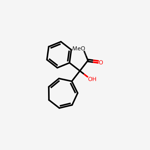 COC(=O)C(O)(C1=CC=CCC=C1)c1ccccc1